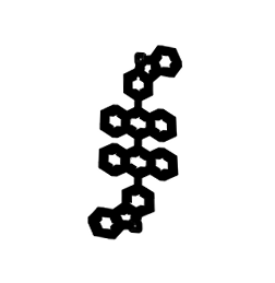 c1ccc2c(c1)oc1ccc(-c3c4ccccc4c(-c4c5ccccc5c(-c5ccc6oc7ccccc7c6c5)c5ccccc45)c4ccccc34)cc12